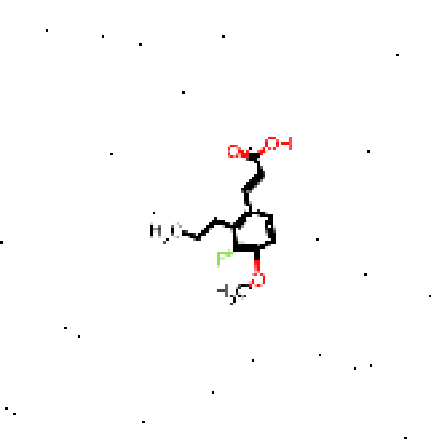 CCCc1c(C=CC(=O)O)ccc(OC)c1F